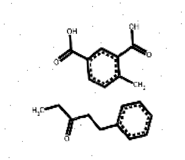 CCC(=O)CCc1ccccc1.Cc1ccc(C(=O)O)cc1C(=O)O